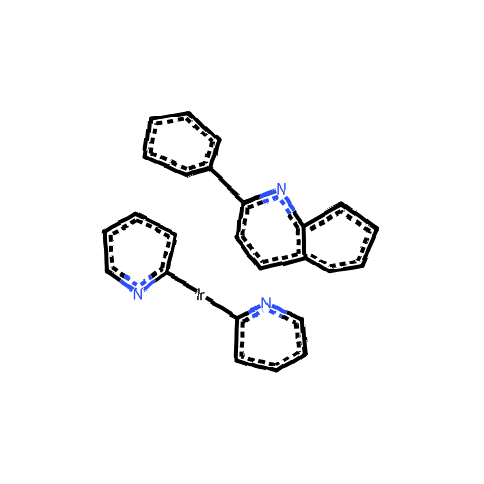 c1cc[c]([Ir][c]2ccccn2)nc1.c1ccc(-c2ccc3ccccc3n2)cc1